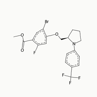 COC(=O)c1cc(Br)c(OC[C@H]2CCCN2c2ccc(C(F)(F)F)cc2)cc1F